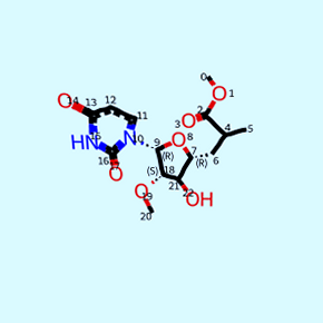 COC(=O)C(C)C[C@H]1O[C@@H](n2ccc(=O)[nH]c2=O)[C@@H](OC)C1O